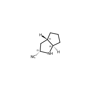 N#C[C@@H]1C[C@@H]2CCC[C@H]2N1